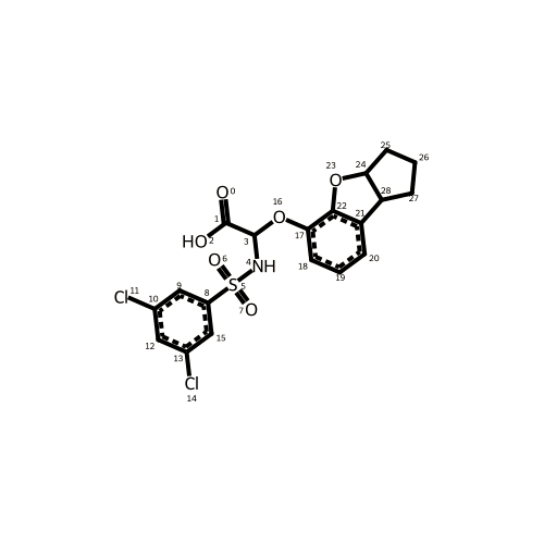 O=C(O)C(NS(=O)(=O)c1cc(Cl)cc(Cl)c1)Oc1cccc2c1OC1CCCC21